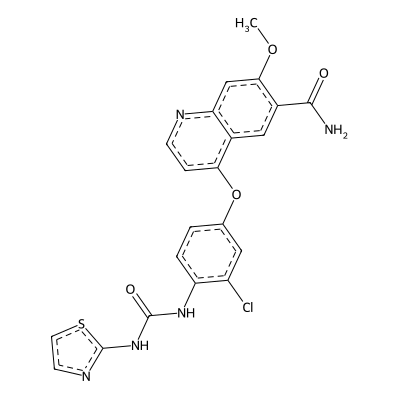 COc1cc2nccc(Oc3ccc(NC(=O)Nc4nccs4)c(Cl)c3)c2cc1C(N)=O